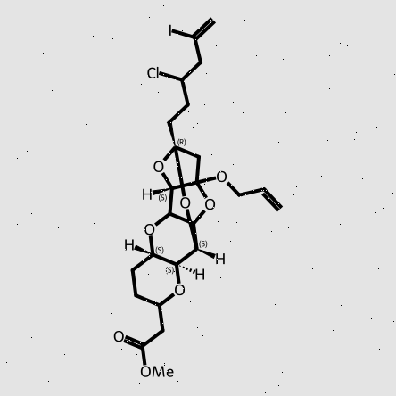 C=CCOC12C[C@]3(CCC(Cl)CC(=C)I)O[C@@H]4C(O1)C(O[C@H]1CCC(CC(=O)OC)O[C@@H]14)[C@@H]2O3